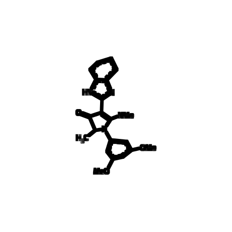 CNC1=C(c2nc3ccccc3[nH]2)C(=O)C(C)N1c1cc(OC)cc(OC)c1